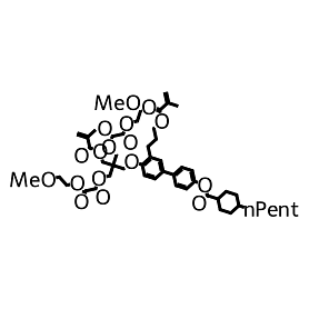 C=C(C)C(=O)OCCCc1cc(-c2ccc(OC(=O)C3CCC(CCCCC)CC3)cc2)ccc1OCC(COC(=O)C(=C)C)(COC(=O)C(=O)OCCOC)COC(=O)C(=O)OCCOC